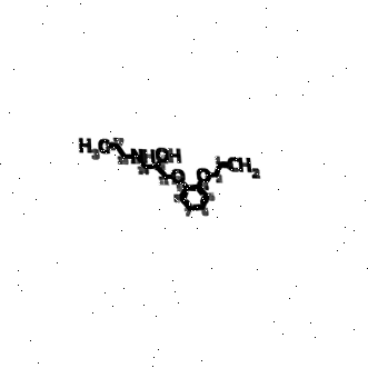 C=CCOc1ccccc1OCC(O)CNCCC